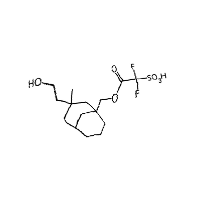 CC1(CCO)CC2CCCC(COC(=O)C(F)(F)S(=O)(=O)O)(C2)C1